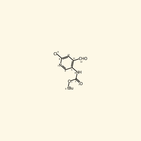 CC(C)(C)OC(=O)Nc1cnc(Cl)cc1C=O